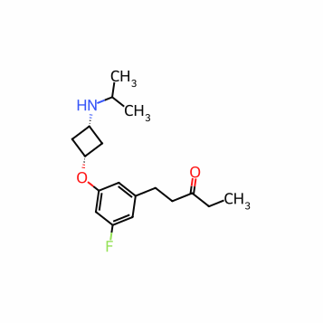 CCC(=O)CCc1cc(F)cc(O[C@H]2C[C@@H](NC(C)C)C2)c1